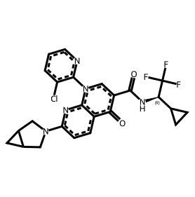 O=C(N[C@H](C1CC1)C(F)(F)F)c1cn(-c2ncccc2Cl)c2nc(N3CC4CC4C3)ccc2c1=O